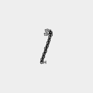 CC(C)(C)c1ccc(OCCOCCOCCOCCOCCOCCOCCOCCOCCOCCO)c(C(C)(C)C)c1